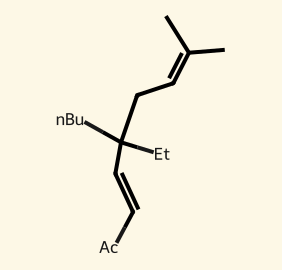 CCCCC(C=CC(C)=O)(CC)CC=C(C)C